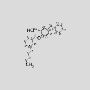 CCCCCN1CCCC(COc2ccc(Cc3ccccc3)cc2)C1.Cl